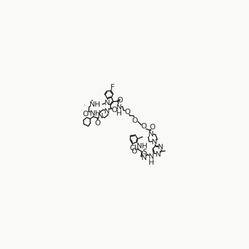 CN[C@@H](C)C(=O)NC(C(=O)N1CCN(C(=O)c2c(C(=O)NCCOCCOCCOCC(=O)N3CCN(c4cc(Nc5ncc(C(=O)Nc6c(C)cccc6Cl)s5)nc(C)n4)CC3)c3cc(F)ccc3n2C)CC1)C1CCCCC1